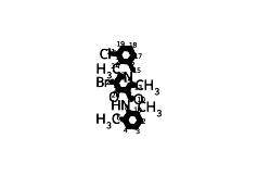 Cc1cccc(C)c1NC(=O)c1c(C)n(Cc2cccc(Cl)c2)c(C)c(Br)c1=O